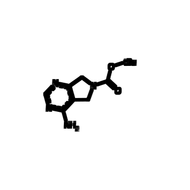 CC(C)(C)OC(=O)N1Cc2ncnc(N)c2C1